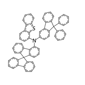 c1ccc(C2(c3ccccc3)c3ccccc3-c3cc(N(c4cccc5c4-c4ccccc4C54c5ccccc5-c5ccccc54)c4cccc5c4sc4ccccc45)ccc32)cc1